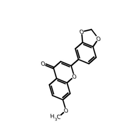 COc1ccc2c(=O)cc(-c3ccc4c(c3)OCO4)oc2c1